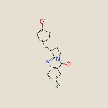 COc1ccc(/C=C2\CCn3c2nc2ccc(Cl)cc2c3=O)cc1